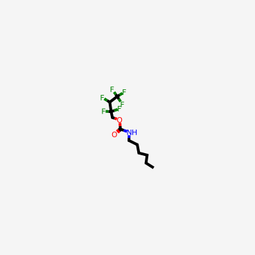 CCCCCCNC(=O)OCC(F)(F)C(F)C(F)(F)F